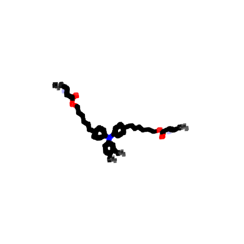 C/C=C/C(=O)OCCCCCCc1ccc(N(c2ccc(CCCCCCOC(=O)/C=C/C)cc2)c2ccc(C)c(C)c2)cc1